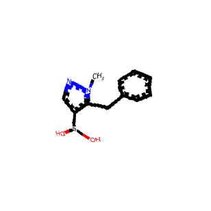 Cn1ncc(B(O)O)c1Cc1ccccc1